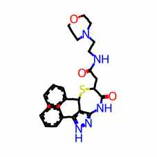 O=C(CC1SC(c2ccccc2)c2c(n[nH]c2-c2ccccc2)NC1=O)NCCN1CCOCC1